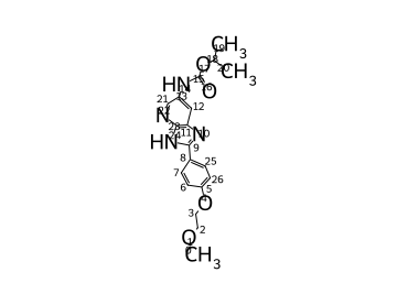 COCCOc1ccc(-c2nc3cc(NC(=O)OC(C)C)cnc3[nH]2)cc1